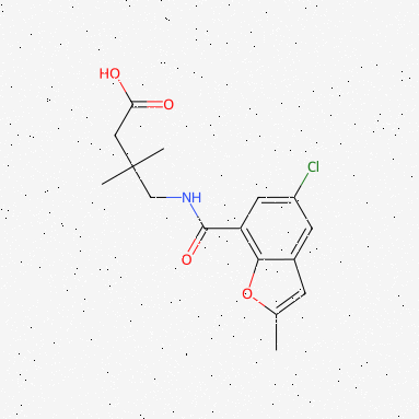 Cc1cc2cc(Cl)cc(C(=O)NCC(C)(C)CC(=O)O)c2o1